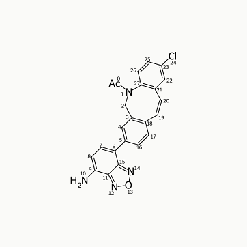 CC(=O)N1Cc2cc(-c3ccc(N)c4nonc34)ccc2C=Cc2cc(Cl)ccc21